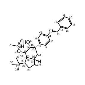 C[SiH](C)OC1[C@H](O)[C@H](c2ccc(OCc3ccccc3)cc2)C[C@@H]2CC[C@@H](C(C)(C)C)[C@@]12C